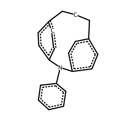 c1ccc(N2c3ccc(cc3)CCCc3ccc2cc3)cc1